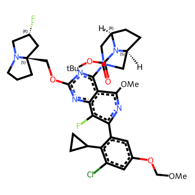 COCOc1cc(Cl)c(C2CC2)c(-c2nc(OC)c3c(N4C[C@H]5CC[C@@H](C4)N5C(=O)OC(C)(C)C)nc(OC[C@@]45CCCN4C[C@H](F)C5)nc3c2F)c1